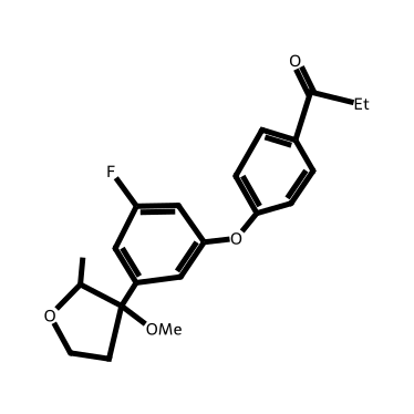 CCC(=O)c1ccc(Oc2cc(F)cc(C3(OC)CCOC3C)c2)cc1